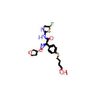 O=C(Nc1ncc(F)s1)/C(=N/O[C@@H]1CCOC1)c1ccc(SCCCCO)cc1